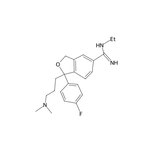 CCNC(=N)c1ccc2c(c1)COC2(CCCN(C)C)c1ccc(F)cc1